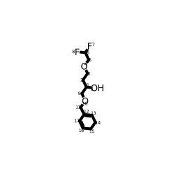 OC(CCOCC(F)F)COCC1=CCCC=C1